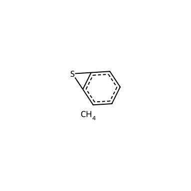 C.c1ccc2c(c1)S2